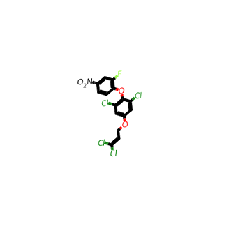 O=[N+]([O-])c1ccc(Oc2c(Cl)cc(OCC=C(Cl)Cl)cc2Cl)c(F)c1